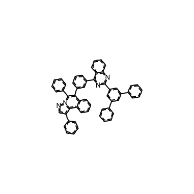 c1ccc(-c2cc(-c3ccccc3)cc(-c3nc(-c4cccc(-c5c(-c6ccccc6)n6ncc(-c7ccccc7)c6c6ccccc56)c4)c4ccccc4n3)c2)cc1